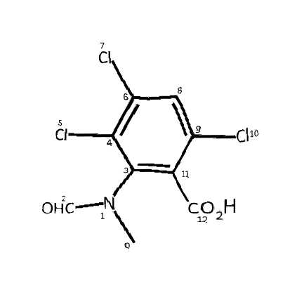 CN(C=O)c1c(Cl)c(Cl)cc(Cl)c1C(=O)O